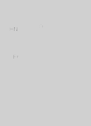 CCC(C([NH])=O)C(c1ccccc1)c1ccccc1